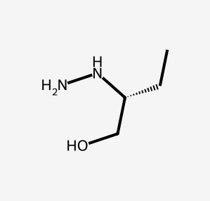 CC[C@H](CO)NN